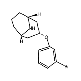 Brc1cccc(O[C@H]2C[C@H]3CCC[C@@H](C2)N3)c1